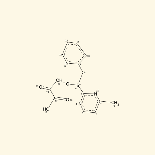 Cc1ccnc([S+]([O-])Cc2ccccn2)n1.O=C(O)C(=O)O